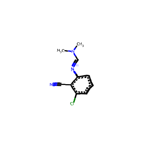 CN(C)/C=N/c1cccc(Cl)c1C#N